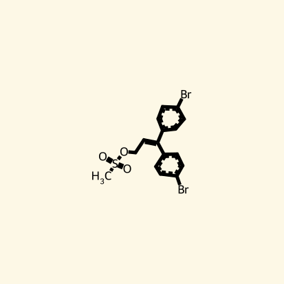 CS(=O)(=O)OCC=C(c1ccc(Br)cc1)c1ccc(Br)cc1